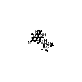 CCOC(=O)[C@H](COC(=O)C1=C(C)Nc2c(C)cnc(OCC)c2[C@@H]1c1ccc(C#N)cc1OC)NC(=O)OC(C)(C)C